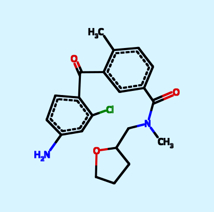 Cc1ccc(C(=O)N(C)CC2CCCO2)cc1C(=O)c1ccc(N)cc1Cl